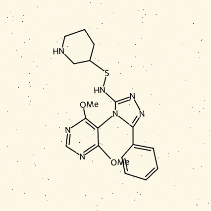 COc1ncnc(OC)c1-n1c(NSC2CCCNC2)nnc1-c1ccccc1